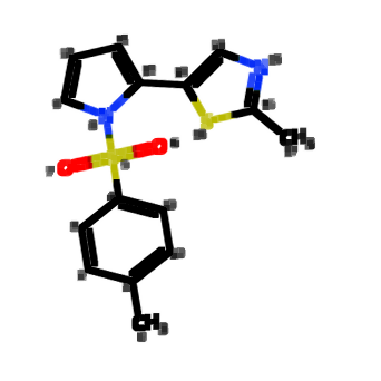 Cc1ccc(S(=O)(=O)n2cccc2-c2cnc(C)s2)cc1